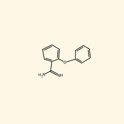 N=C(N)c1ccccc1Oc1ccccc1